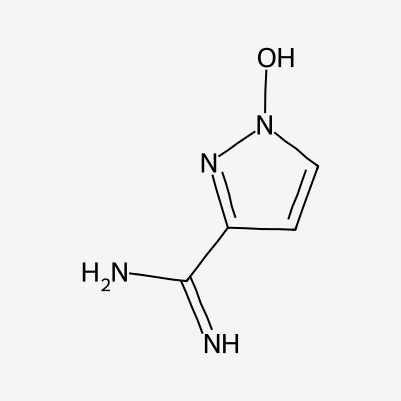 N=C(N)c1ccn(O)n1